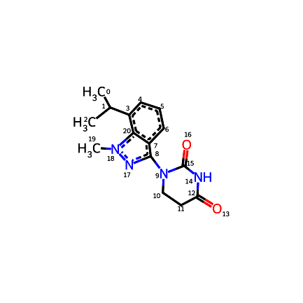 CC(C)c1cccc2c(N3CCC(=O)NC3=O)nn(C)c12